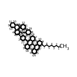 CCCCCCCCc1cccc2c(-c3c4ccccc4c(-c4ccc5c(c4)[Si](c4ccccc4)(c4ccccc4)c4c-5ccc5c4ccc4ccccc45)c4ccccc34)c3ccccc3cc12